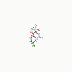 Cn1cc(S(=O)(=O)Cl)c(=O)c2ccc(Cl)cc21